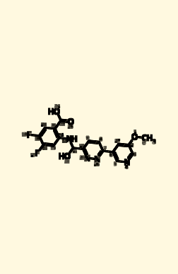 COc1cncc(-c2ccc(C(O)Nc3cc(F)c(F)cc3C(=O)O)nn2)c1